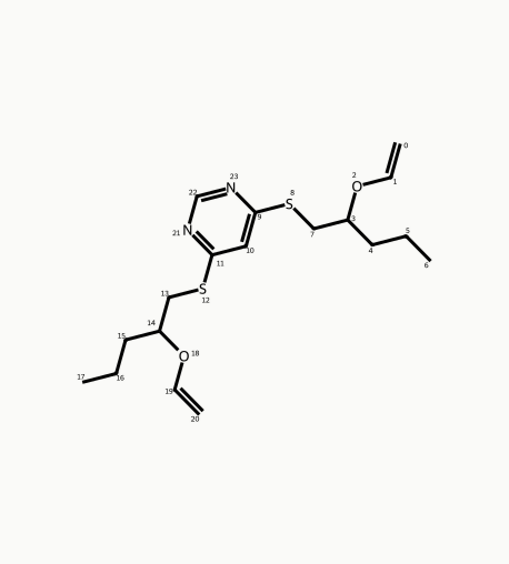 C=COC(CCC)CSc1cc(SCC(CCC)OC=C)ncn1